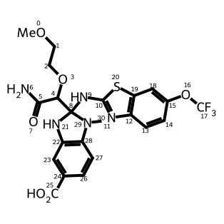 COCCOC(C(N)=O)C1(Nc2nc3ccc(OC(F)(F)F)cc3s2)Nc2cc(C(=O)O)ccc2N1C